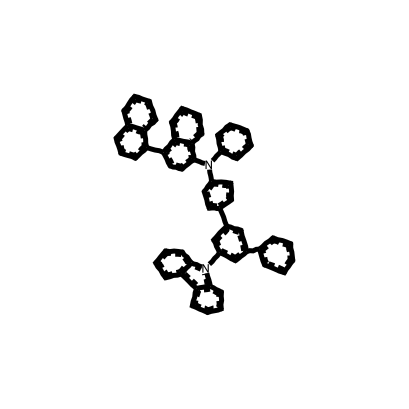 c1ccc(-c2cc(-c3ccc(N(c4ccccc4)c4ccc(-c5cccc6ccccc56)c5ccccc45)cc3)cc(-n3c4ccccc4c4ccccc43)c2)cc1